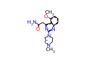 COc1cccc2nc(N3CCN(C)CC3)nc(CC(N)=O)c12